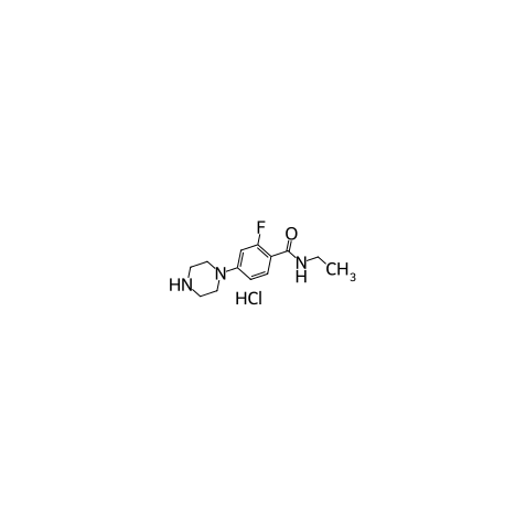 CCNC(=O)c1ccc(N2CCNCC2)cc1F.Cl